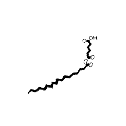 CCCCCCCCC=CCCCCCCCC(=O)OC(=O)CCCCC(=O)O